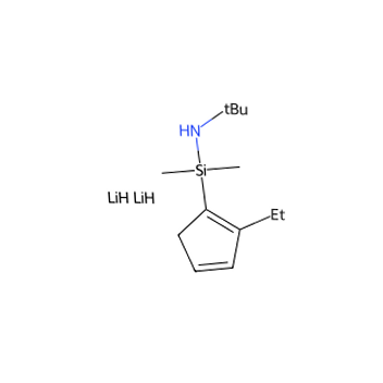 CCC1=C([Si](C)(C)NC(C)(C)C)CC=C1.[LiH].[LiH]